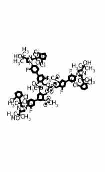 CC(C)(O)c1cn(-c2ccc(-c3cc(F)c(COP(=O)(OCc4c(F)cc(-c5ccc(-n6cc(C(C)(C)O)nc6C(C)(C)c6c(Cl)cccc6Cl)c(F)c5)cc4S(C)(=O)=O)OCc4c(F)cc(-c5ccc(-n6cc(C(C)(C)O)nc6C(C)(C)c6c(Cl)cccc6Cl)c(F)c5)cc4S(C)(=O)=O)c(S(C)(=O)=O)c3)cc2F)c(C(C)(C)c2c(Cl)cccc2Cl)n1